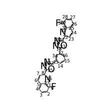 Fc1cccc2ccc(-c3nnc(-c4cccc(-c5nnc(-c6ccc7cccc(F)c7n6)o5)c4)o3)nc12